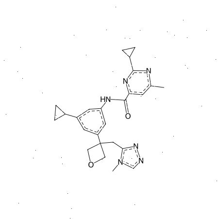 Cc1cc(C(=O)Nc2cc(C3CC3)cc(C3(Cc4nncn4C)COC3)c2)nc(C2CC2)n1